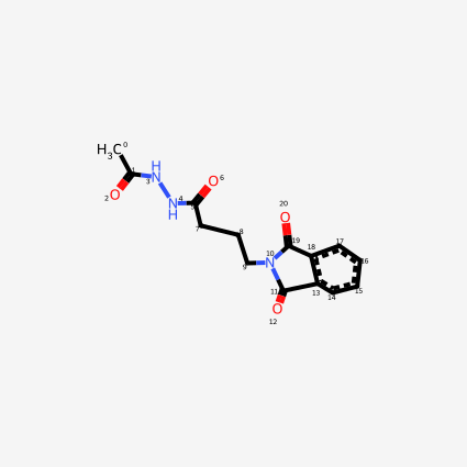 CC(=O)NNC(=O)CCCN1C(=O)c2ccccc2C1=O